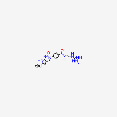 CC(C)(C)c1cc2cn(-c3ccc(C(=O)NCCNC(=N)N)cc3)c(=O)nc2[nH]1